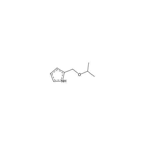 CC(C)OCc1ccc[nH]1